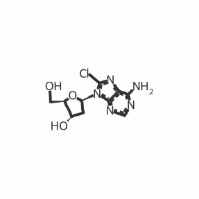 Nc1ncnc2c1nc(Cl)n2[C@H]1C[C@H](O)[C@@H](CO)O1